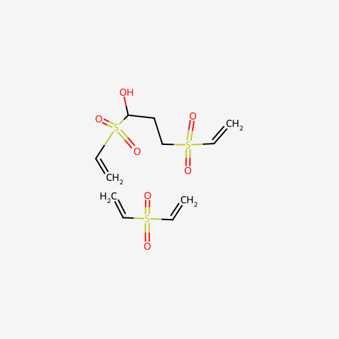 C=CS(=O)(=O)C=C.C=CS(=O)(=O)CCC(O)S(=O)(=O)C=C